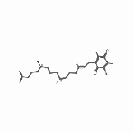 CC1=C(C)C(=O)C(C/C=C(\C)CCC[C@H](C)CCC[C@H](C)CCCC(C)C)=C(C)C1=O